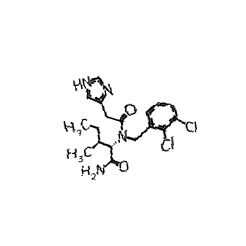 CC[C@H](C)[C@@H](C(N)=O)N(Cc1cccc(Cl)c1Cl)C(=O)Cc1c[nH]cn1